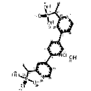 CC(c1cc(-c2ccc(-c3ccnc(C(C)P(=O)(O)O)c3)cc2)ccn1)P(=O)(O)O.Cl.Cl